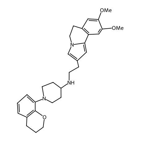 COc1cc2c(cc1OC)-c1cc(CCNC3CCN(c4cccc5c4OCCC5)CC3)cn1CC2